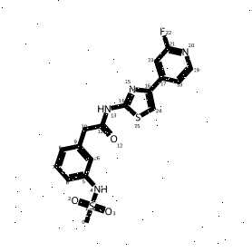 CS(=O)(=O)Nc1cccc(CC(=O)Nc2nc(-c3ccnc(F)c3)cs2)c1